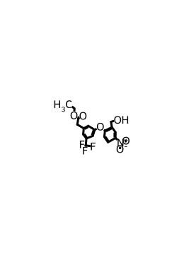 CCOC(=O)Cc1cc(Oc2ccc([N+](=O)[O-])cc2CO)cc(C(F)(F)F)c1